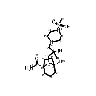 CC(O)(CN1CCN(S(C)(=O)=O)CC1)CN1[C@@H]2C[CH]C[C@@]1(C(N)=O)CC2